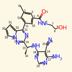 Cc1cc(C(=O)NCCO)cc(-c2nc([C@H](C)Nc3ncnc(N)c3C#N)nn3cccc23)c1